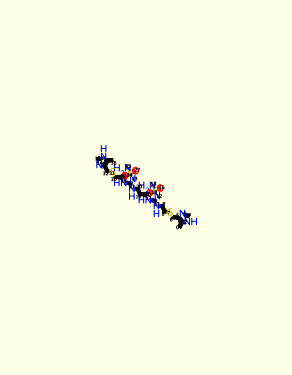 Cc1[nH]cnc1CSCCNC(=NS(N)(=O)=O)NCCCNC(=NS(N)(=O)=O)NCCSCc1nc[nH]c1C